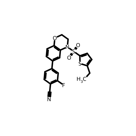 CCc1ccc(S(=O)(=O)N2CCOc3ccc(-c4ccc(C#N)c(F)c4)cc32)s1